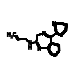 C=CCNC1=Nc2ccccc2C(c2ccccn2)=NC1